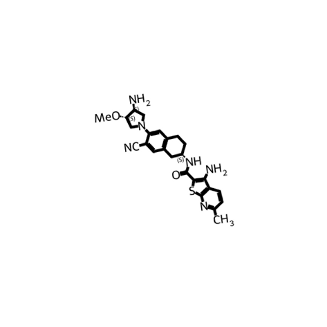 CO[C@H]1CN(c2cc3c(cc2C#N)C[C@@H](NC(=O)c2sc4nc(C)ccc4c2N)CC3)C[C@@H]1N